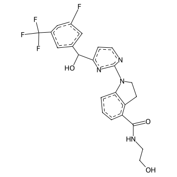 O=C(NCCO)c1cccc2c1CCN2c1nccc(C(O)c2cc(F)cc(C(F)(F)F)c2)n1